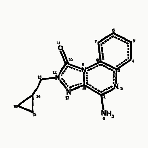 Nc1nc2ccccc2n2c(=O)n(CC3CC3)nc12